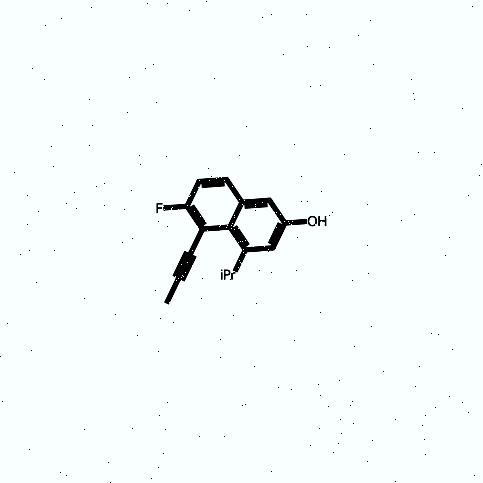 CC#Cc1c(F)ccc2cc(O)cc(C(C)C)c12